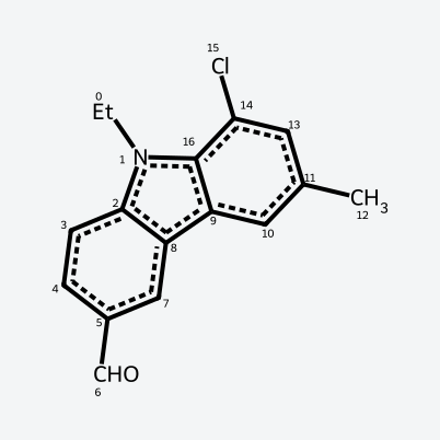 CCn1c2ccc(C=O)cc2c2cc(C)cc(Cl)c21